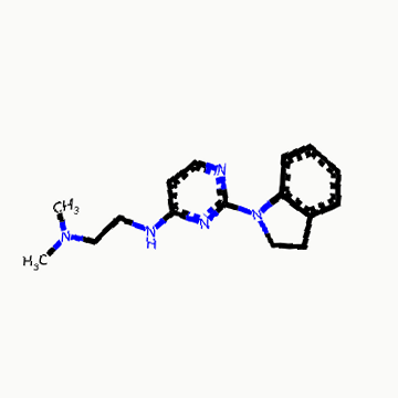 CN(C)CCNc1ccnc(N2CCc3ccccc32)n1